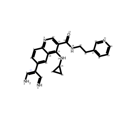 N=C/C(=C\N)c1ccc2ncc(C(=O)NCCc3cccnc3)c(NC3CC3)c2c1